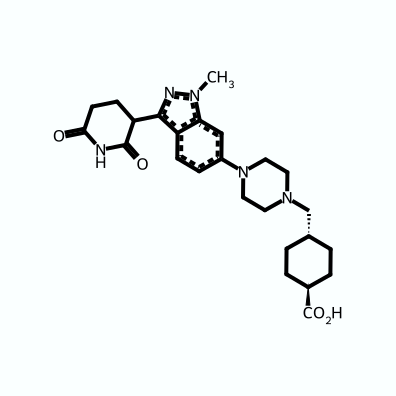 Cn1nc(C2CCC(=O)NC2=O)c2ccc(N3CCN(C[C@H]4CC[C@H](C(=O)O)CC4)CC3)cc21